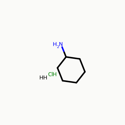 Cl.NC1CCCCC1.[HH]